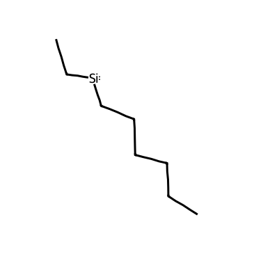 CCCCCC[Si]CC